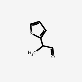 CC([C]=O)c1cccs1